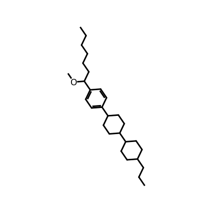 CCCCCCC(OC)c1ccc(C2CCC(C3CCC(CCC)CC3)CC2)cc1